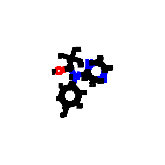 Cc1ccc(N(C(=O)C(C)(C)C)c2cnccn2)cc1